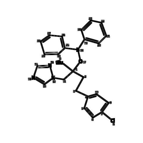 CC(C)(C)C(CCc1ccc(Cl)cc1)(Cn1cncn1)OB(c1ccccc1)c1ccccc1